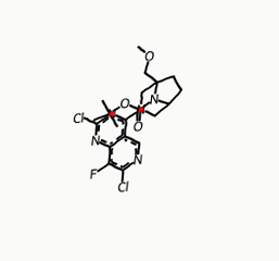 COCC12CCC(CN(c3nc(Cl)nc4c(F)c(Cl)ncc34)C1)N2C(=O)OC(C)(C)C